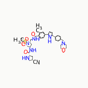 Cc1cc(-c2ccc(-c3ccc(CN4CCOCC4)cc3)[nH]2)ccc1C(=O)NC[C@H]1C[C@@H](NC(=O)[C@@H]2C[C@H](C#N)CN2)CN1S(C)(=O)=O